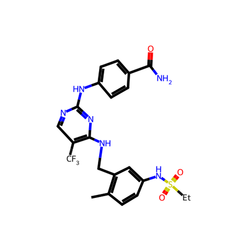 CCS(=O)(=O)Nc1ccc(C)c(CNc2nc(Nc3ccc(C(N)=O)cc3)ncc2C(F)(F)F)c1